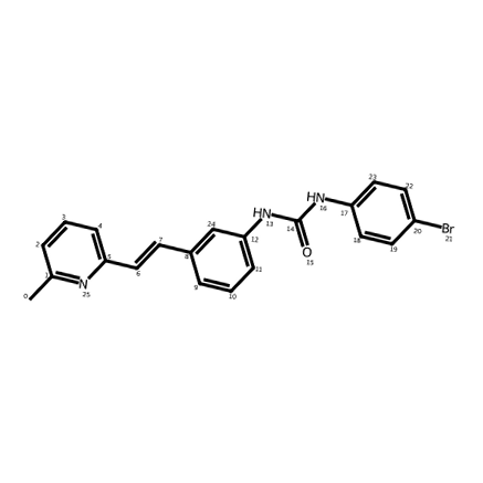 Cc1cccc(/C=C/c2cccc(NC(=O)Nc3ccc(Br)cc3)c2)n1